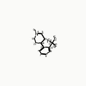 CN1CCC(c2cc[c]cc2C(F)(F)F)CC1